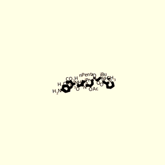 CCCCCON(C(=O)[C@@H](NC(=O)C1CCCCN1C)[C@@H](C)CC)[C@H](C[C@@H](OC(C)=O)c1nc(C(=O)N[C@@H](Cc2ccc(N)cc2)CC(C)(C)C(=O)O)cs1)C(C)C